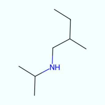 CCC(C)CNC(C)C